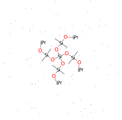 CC(C)O[Si](C)(C)O[Si](O[Si](C)(C)OC(C)C)(O[Si](C)(C)OC(C)C)O[Si](C)(C)OC(C)C